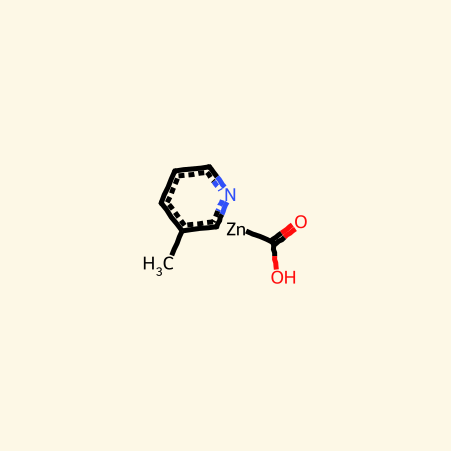 Cc1cccnc1.O=[C](O)[Zn]